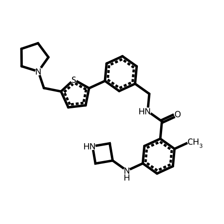 Cc1ccc(NC2CNC2)cc1C(=O)NCc1cccc(-c2ccc(CN3CCCC3)s2)c1